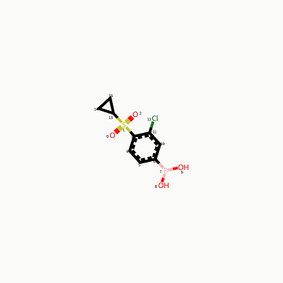 O=S(=O)(c1ccc(B(O)O)cc1Cl)C1CC1